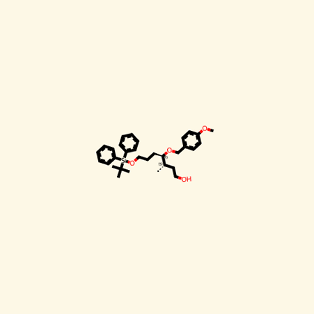 COc1ccc(CO[C@H](CCCO[Si](c2ccccc2)(c2ccccc2)C(C)(C)C)[C@@H](C)CCO)cc1